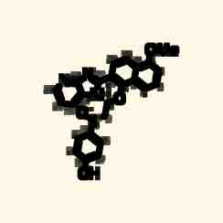 COc1cccc2c(OCC[S+]([O-])c3ccc(O)cc3)c(-c3nc4ncccc4[nH]3)ccc12